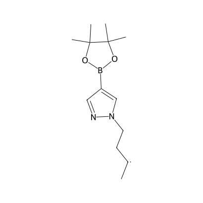 C[CH]CCn1cc(B2OC(C)(C)C(C)(C)O2)cn1